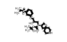 CC(C)S(=O)(=O)c1cccc(OC[C@@H](O)CN(C(=O)OC(C)(C)C)[C@H]2COC3(CCNCC3)C2)c1